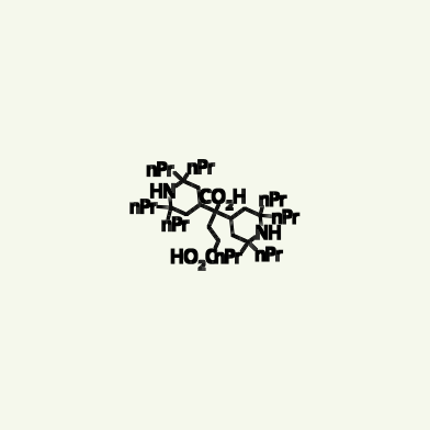 CCCC1(CCC)CC(C(CCC(=O)O)(C(=O)O)C2CC(CCC)(CCC)NC(CCC)(CCC)C2)CC(CCC)(CCC)N1